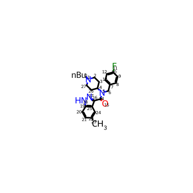 CCCCN1CCC(N(Cc2ccc(F)cc2)C(=O)c2n[nH]c3ccc(C)cc23)CC1